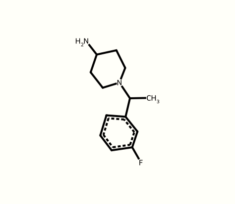 CC(c1cccc(F)c1)N1CCC(N)CC1